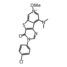 CO[n+]1cc(N(C)C)c2c(c1)sc1c(=O)n(-c3ccc(Cl)cc3)cnc12